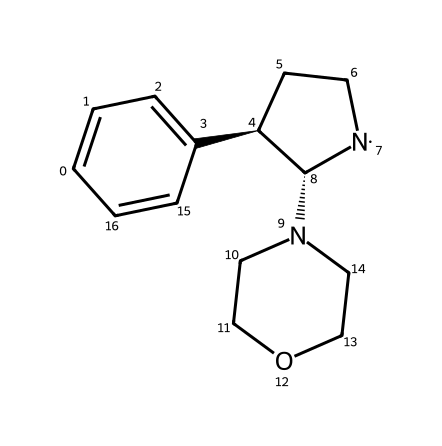 c1ccc([C@H]2CC[N][C@@H]2N2CCOCC2)cc1